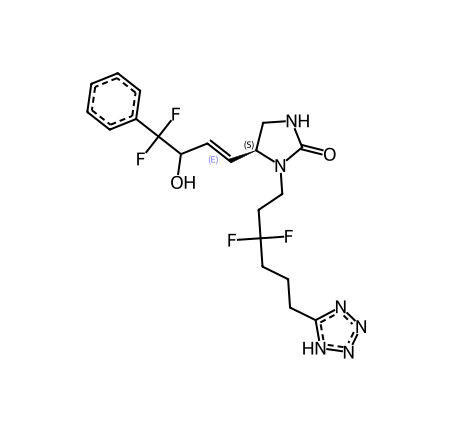 O=C1NC[C@H](/C=C/C(O)C(F)(F)c2ccccc2)N1CCC(F)(F)CCCc1nnn[nH]1